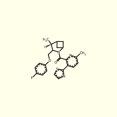 Cc1ccc(-c2nccs2)c(C(=O)N2C3CC(C3)[C@@H](C)C2COc2ccc(F)cc2)n1